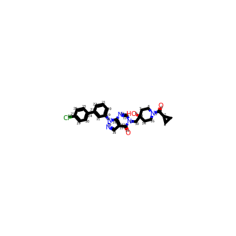 O=C(C1CC1)N1CCC(O)(Cn2cnc3c(cnn3-c3cccc(-c4ccc(Cl)cc4)c3)c2=O)CC1